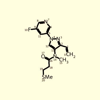 C=Cc1nn(-c2cncc(F)c2)cc1N(C)C(=O)CCSC